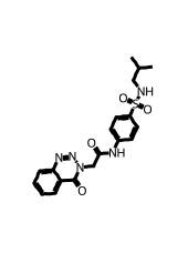 CC(C)CNS(=O)(=O)c1ccc(NC(=O)Cn2nnc3ccccc3c2=O)cc1